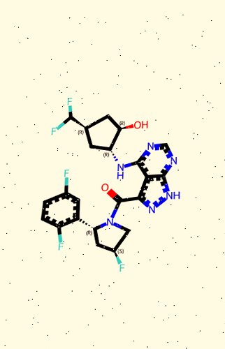 O=C(c1n[nH]c2ncnc(N[C@@H]3C[C@@H](C(F)F)C[C@H]3O)c12)N1C[C@@H](F)C[C@@H]1c1cc(F)ccc1F